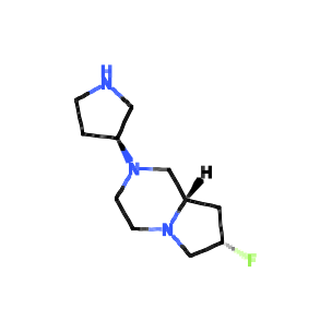 F[C@H]1C[C@H]2CN([C@H]3CCNC3)CCN2C1